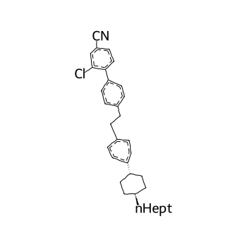 CCCCCCC[C@H]1CC[C@H](c2ccc(CCc3ccc(-c4ccc(C#N)cc4Cl)cc3)cc2)CC1